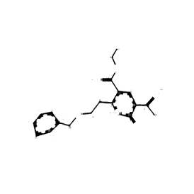 CCOC(=O)c1cc(C(C)=O)c(=O)[nH]c1CCOCc1ccccc1